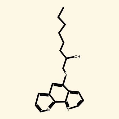 CCCCCCC(O)CSc1cc2cccnc2c2ncccc12